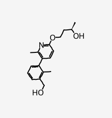 Cc1nc(OCC[C@@H](C)O)ccc1-c1cccc(CO)c1C